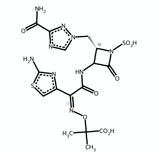 CC(C)(O/N=C(\C(=O)NC1C(=O)N(S(=O)(=O)O)[C@H]1Cn1cnc(C(N)=O)n1)c1csc(N)n1)C(=O)O